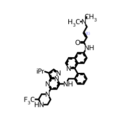 CC(C)c1cnn2c(NCc3ccccc3-c3nccc4cc(NC(=O)/C=C/CN(C)C)ccc34)cc(N3CCNC(C(F)(F)F)C3)nc12